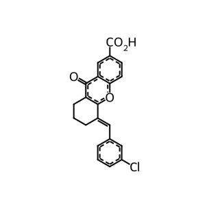 O=C(O)c1ccc2oc3c(c(=O)c2c1)CCCC3=Cc1cccc(Cl)c1